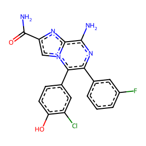 NC(=O)c1cn2c(-c3ccc(O)c(Cl)c3)c(-c3cccc(F)c3)nc(N)c2n1